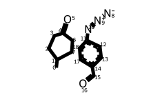 CC1CCC(=O)CC1.[N-]=[N+]=Nc1ccc(C=O)cc1